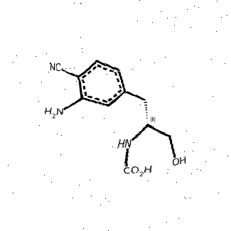 N#Cc1ccc(C[C@H](CO)NC(=O)O)cc1N